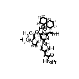 CC(C)NC(=O)CC(=N)/C=C\Nc1cc(O[C@@H](C)[C@@H]2CCCN2C)nc(C(=N)[C@@H]2CCC[C@@]3(CCCCC3=O)C2O)n1